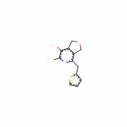 Cc1nc(Cc2cccs2)c2c(c1O)COC2